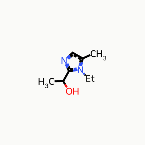 CCn1c(C)cnc1C(C)O